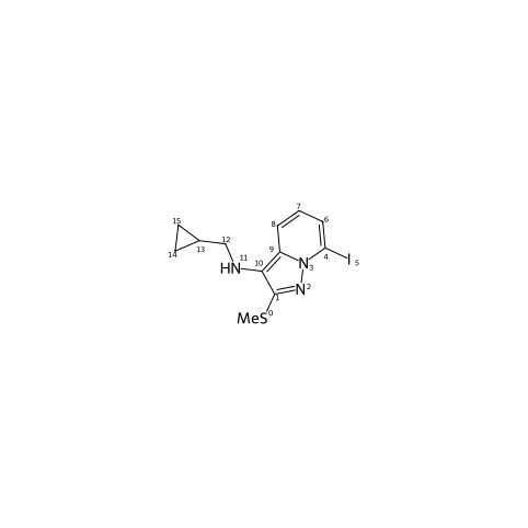 CSc1nn2c(I)cccc2c1NCC1CC1